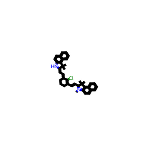 C[N+]1=C(/C=C/C2=C(Cl)C(=C/C=C3/Nc4ccc5ccccc5c4C3(C)C)/CCC2)C(C)(C)c2c1ccc1ccccc21